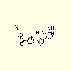 N#CC1CN(C(=O)c2ccc(-n3cc(-c4ccnc(N)c4N)cn3)nc2)C1